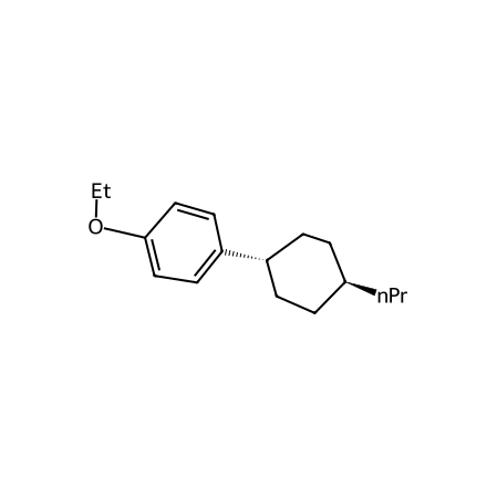 CCC[C@H]1CC[C@H](c2ccc(OCC)cc2)CC1